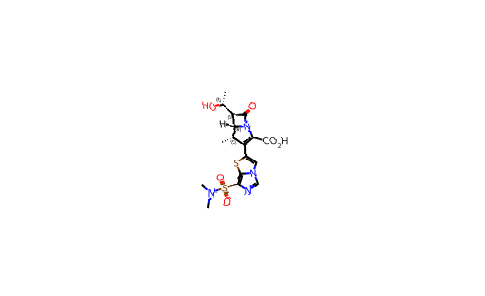 C[C@@H](O)[C@H]1C(=O)N2C(C(=O)O)=C(c3cn4cnc(S(=O)(=O)N(C)C)c4s3)[C@H](C)[C@H]12